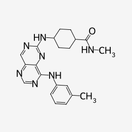 CNC(=O)C1CCC(Nc2ncc3ncnc(Nc4cccc(C)c4)c3n2)CC1